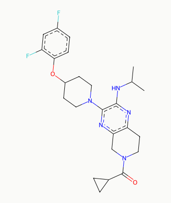 CC(C)Nc1nc2c(nc1N1CCC(Oc3ccc(F)cc3F)CC1)CN(C(=O)C1CC1)CC2